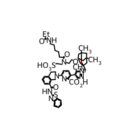 CCC(=O)NCCCCCC(=O)N(CCOC12CC3(C)CC(C)(CC(Cn4ncc(-c5ccc(N6CCc7cccc(C(=O)Nc8nc9ccccc9s8)c7C6)nc5C(=O)O)c4C)(C3)C1)C2)CCS(=O)(=O)O